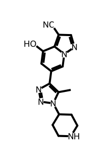 Cc1c(-c2cc(O)c3c(C#N)cnn3c2)nnn1C1CCNCC1